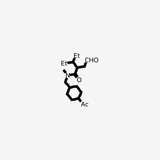 CCC(CC)C(CC=O)C(=O)N(C)CC1CCC(C(C)=O)CC1